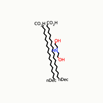 CCCCCCCCCCCCCCCCCCCCCCCCCCCC(=O)O.CCCCCCCCCCCCCCCCCCCCCCCCCCCC(=O)O.OCCNCCO